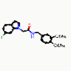 COc1ccc(CNC(=O)Cn2ccc3ccc(F)cc32)cc1OC